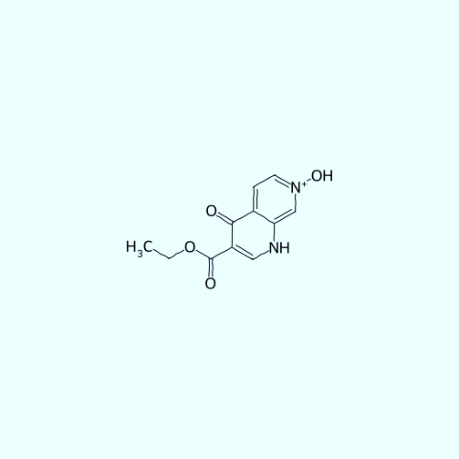 CCOC(=O)c1c[nH]c2c[n+](O)ccc2c1=O